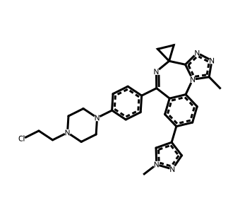 Cc1nnc2n1-c1ccc(-c3cnn(C)c3)cc1C(c1ccc(N3CCN(CCCl)CC3)cc1)=NC21CC1